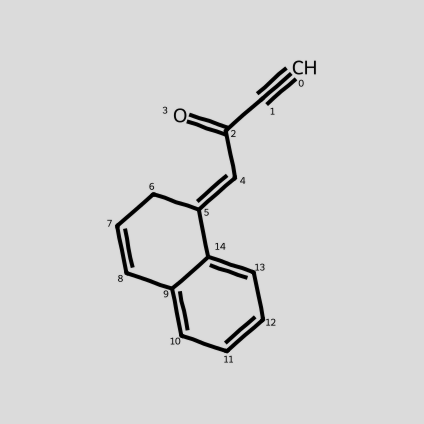 C#CC(=O)C=C1CC=Cc2ccccc21